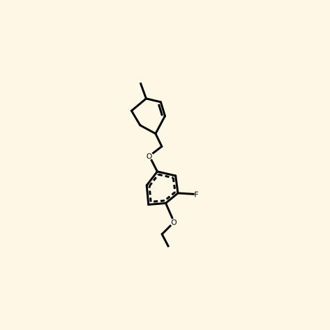 CCOc1ccc(OCC2C=CC(C)CC2)cc1F